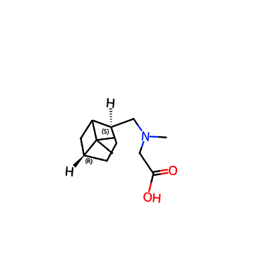 CN(CC(=O)O)C[C@H]1CC[C@@H]2CC1C2(C)C